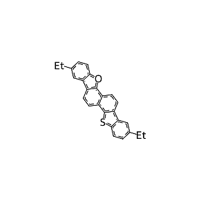 CCc1ccc2oc3c(ccc4c3ccc3c5cc(CC)ccc5sc34)c2c1